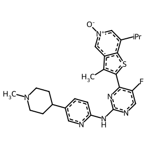 Cc1c(-c2nc(Nc3ccc(C4CCN(C)CC4)cn3)ncc2F)sc2c(C(C)C)c[n+]([O-])cc12